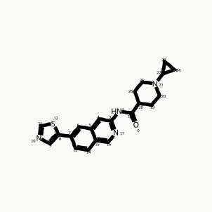 O=C(Nc1cc2cc(-c3cncs3)ccc2cn1)C1CCN(C2CC2)CC1